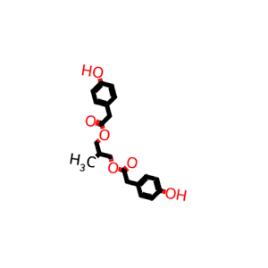 CC(COC(=O)Cc1ccc(O)cc1)COC(=O)Cc1ccc(O)cc1